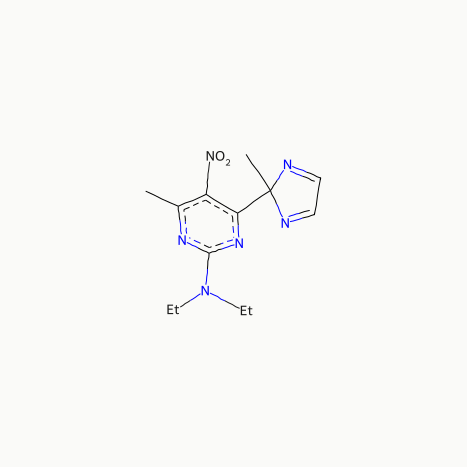 CCN(CC)c1nc(C)c([N+](=O)[O-])c(C2(C)N=CC=N2)n1